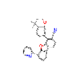 CC1(C)CCOc2cc(-c3c(C#N)ccc4c3oc3c(-c5ccccn5)cccc34)ccc21